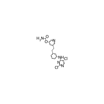 NC(=O)Oc1cncc(CCc2cccc(Nc3nc(Cl)ncc3Cl)c2)c1